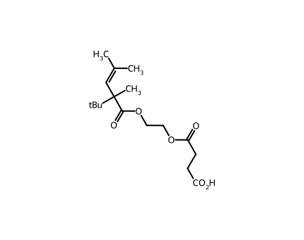 CC(C)=CC(C)(C(=O)OCCOC(=O)CCC(=O)O)C(C)(C)C